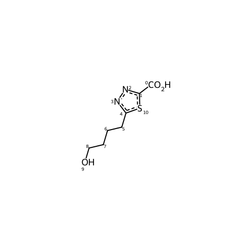 O=C(O)c1nnc(CCCCO)s1